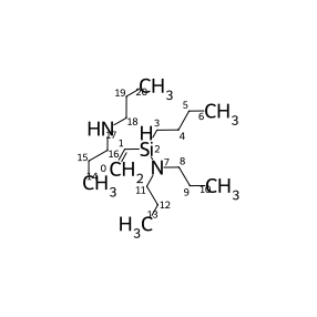 C=C[SiH](CCCC)N(CCC)CCC.CCCNCCC